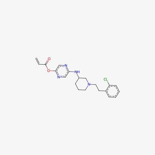 C=CC(=O)Oc1cnc(NC2CCCN(CCc3ccccc3Cl)C2)cn1